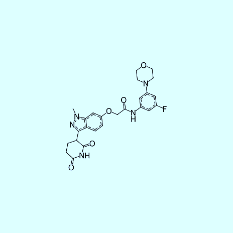 Cn1nc(C2CCC(=O)NC2=O)c2ccc(OCC(=O)Nc3cc(F)cc(N4CCOCC4)c3)cc21